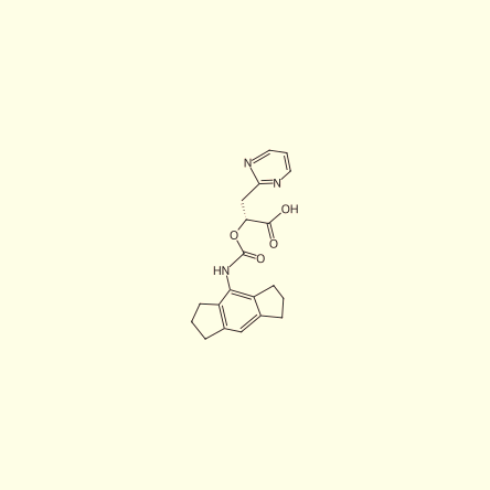 O=C(Nc1c2c(cc3c1CCC3)CCC2)O[C@H](Cc1ncccn1)C(=O)O